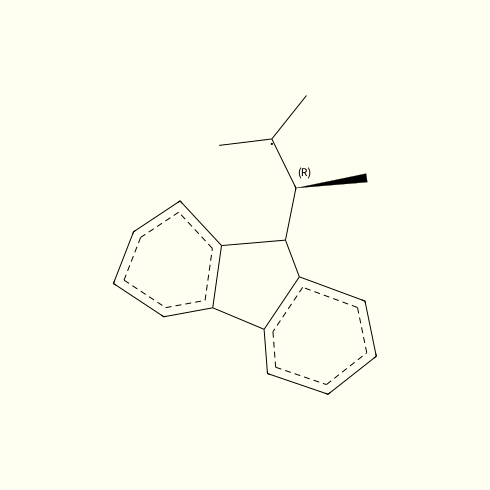 C[C](C)[C@@H](C)C1c2ccccc2-c2ccccc21